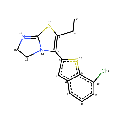 CCC1=C(c2cc3cccc(Cl)c3s2)N2CCN=C2S1